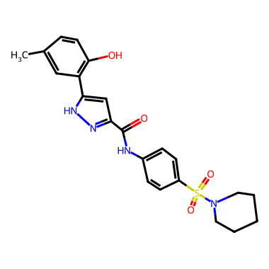 Cc1ccc(O)c(-c2cc(C(=O)Nc3ccc(S(=O)(=O)N4CCCCC4)cc3)n[nH]2)c1